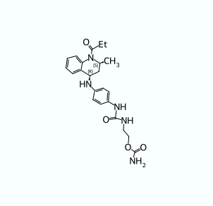 CCC(=O)N1c2ccccc2[C@H](Nc2ccc(NC(=O)NCCOC(N)=O)cc2)C[C@@H]1C